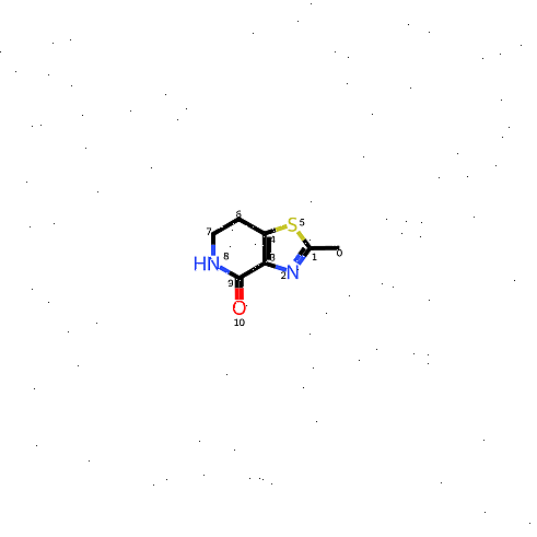 Cc1nc2c(s1)CCNC2=O